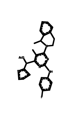 CC(=O)OC(c1cccs1)c1nc(Nc2ccc(F)cc2)nc(N2CCc3ccccc3C2C)c1C